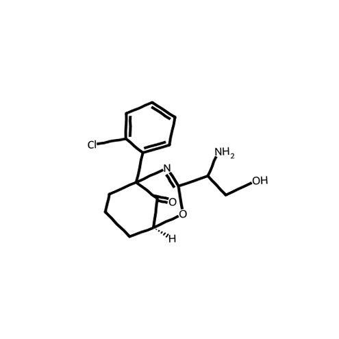 NC(CO)C1=NC2(c3ccccc3Cl)CCC[C@H](O1)C2=O